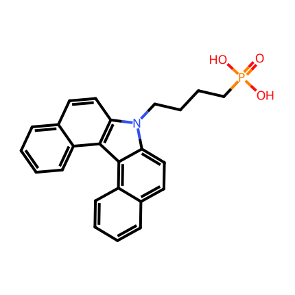 O=P(O)(O)CCCCn1c2ccc3ccccc3c2c2c3ccccc3ccc21